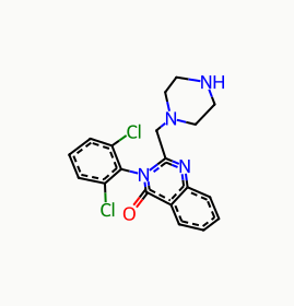 O=c1c2ccccc2nc(CN2CCNCC2)n1-c1c(Cl)cccc1Cl